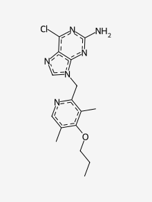 CCCOc1c(C)cnc(Cn2cnc3c(Cl)nc(N)nc32)c1C